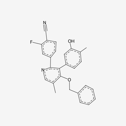 Cc1ccc(-c2c(-c3ccc(C#N)c(F)c3)ncc(C)c2OCc2ccccc2)cc1O